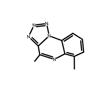 Cc1cccc2c1nc(C)c1nnnn12